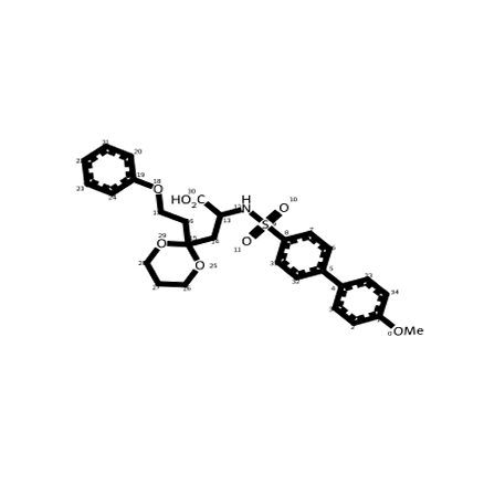 COc1ccc(-c2ccc(S(=O)(=O)NC(CC3(CCOc4ccccc4)OCCCO3)C(=O)O)cc2)cc1